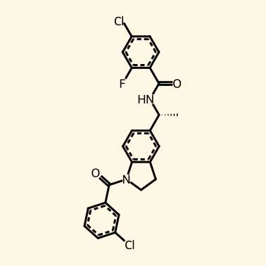 C[C@@H](NC(=O)c1ccc(Cl)cc1F)c1ccc2c(c1)CCN2C(=O)c1cccc(Cl)c1